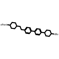 CCCCCC1CCC(CCc2ccc(-c3ccc(C4CCC(CCCC)CC4)cc3)cc2)CC1